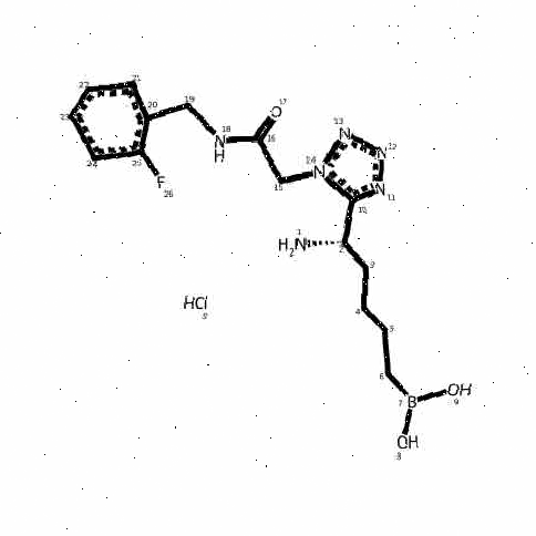 Cl.N[C@@H](CCCCB(O)O)c1nnnn1CC(=O)NCc1ccccc1F